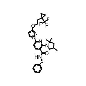 CC1CN(c2nc(-n3ccc(OCCC4(C(F)(F)F)CC4)n3)ccc2C(=O)NSc2ccccc2)C(C)(C)C1